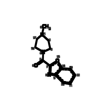 CN1CCN(C(=O)c2nc3ccccc3o2)CC1